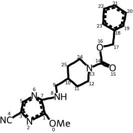 COc1nc(C#N)cnc1NCC1CCN(C(=O)OCc2ccccc2)CC1